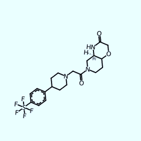 O=C1COC2CCN(C(=O)CN3CCC(c4ccc(S(F)(F)(F)(F)F)cc4)CC3)C[C@H]2N1